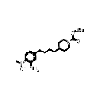 C[S+]([O-])c1ccc(CCCCC2CCN(C(=O)OC(C)(C)C)CC2)cc1N